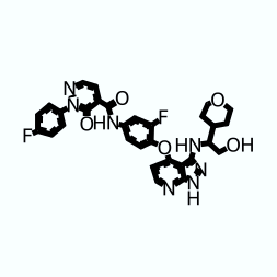 O=C(Nc1ccc(Oc2ccnc3[nH]nc(NC(CO)C4CCOCC4)c23)c(F)c1)c1ccnn(-c2ccc(F)cc2)c1=O